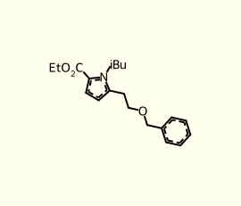 CCOC(=O)c1ccc(CCOCc2ccccc2)n1C(C)CC